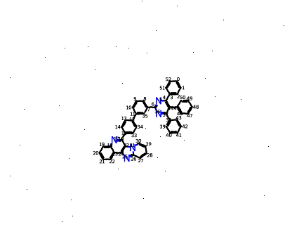 c1ccc(-c2nc(-c3cccc(-c4ccc(-c5nc6ccccc6c6nc7ccccn7c56)cc4)c3)nc(-c3ccccc3)c2-c2ccccc2)cc1